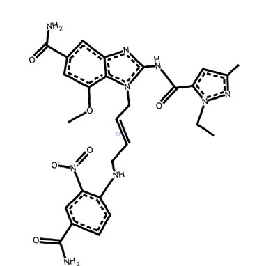 CCn1nc(C)cc1C(=O)Nc1nc2cc(C(N)=O)cc(OC)c2n1C/C=C/CNc1ccc(C(N)=O)cc1[N+](=O)[O-]